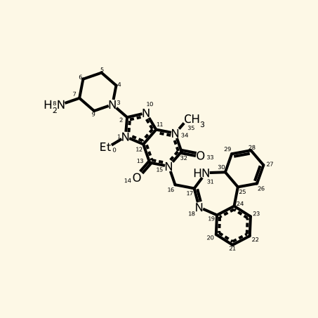 CCn1c(N2CCCC(N)C2)nc2c1c(=O)n(CC1=Nc3ccccc3C3C=CC=CC3N1)c(=O)n2C